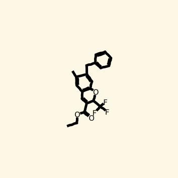 CCOC(=O)C1=Cc2cc(C)c(Cc3ccccc3)cc2OC1C(F)(F)F